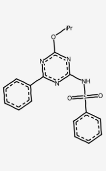 CC(C)Oc1nc(NS(=O)(=O)c2ccccc2)nc(-c2ccccc2)n1